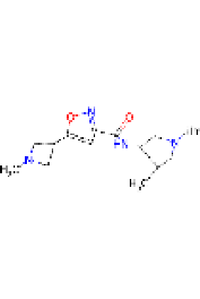 CC1CN(C(C)C)C[C@H]1NC(=O)c1cc(C2CN(C)C2)on1